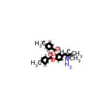 Cc1ccc(C(=O)Oc2ccc([CH]C(N)C(C)(C)C)cc2OC(=O)c2ccc(C)cc2)cc1